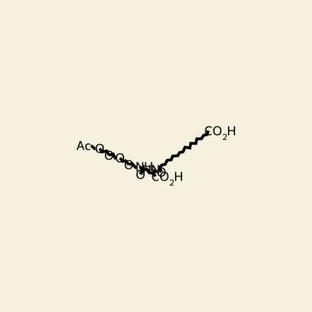 CC(=O)CCOCCOCCOCCOCCNC(=O)CCC(NC(=O)CCCCCCCCCCCCCCCCC(=O)O)C(=O)O